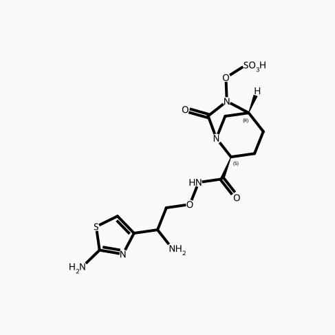 Nc1nc(C(N)CONC(=O)[C@@H]2CC[C@@H]3CN2C(=O)N3OS(=O)(=O)O)cs1